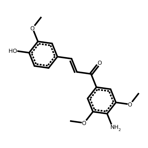 COc1cc(/C=C/C(=O)c2cc(OC)c(N)c(OC)c2)ccc1O